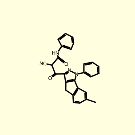 Cc1ccc2c(c1)-c1c(c(C(=O)C(C#N)C(=O)Nc3ccccc3)nn1-c1ccccc1)C2